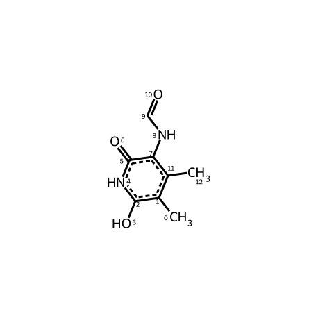 Cc1c(O)[nH]c(=O)c(NC=O)c1C